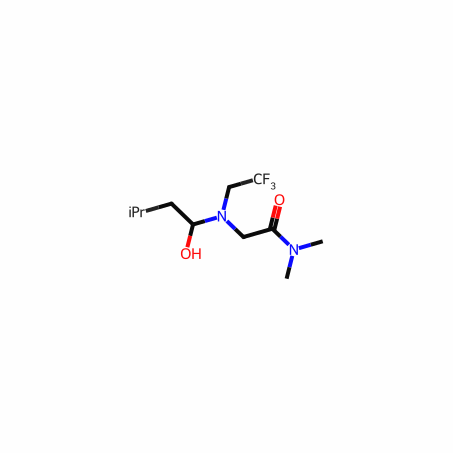 CC(C)CC(O)N(CC(=O)N(C)C)CC(F)(F)F